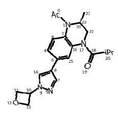 CC(=O)N1c2ccc(-c3cnn(C4COC4)c3)cc2N(C(=O)C(C)C)C[C@@H]1C